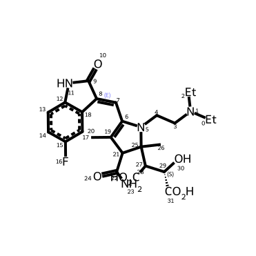 CCN(CC)CCN1C(/C=C2/C(=O)Nc3ccc(F)cc32)=C(C)C(C(N)=O)C1(C)C(C(=O)O)[C@H](O)C(=O)O